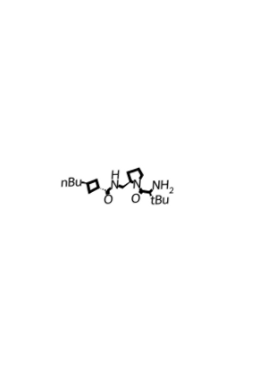 CCCC[C@H]1C[C@H](C(=O)NC[C@H]2CCCN2C(=O)[C@@H](N)C(C)(C)C)C1